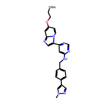 COCCOc1ccn2c(-c3cc(NCc4ccc(-c5cnn(C)c5)cc4)ncn3)cnc2c1